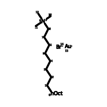 CCCCCCCCCCCCCCCC[N+](C)(C)C.[Au].[Br-]